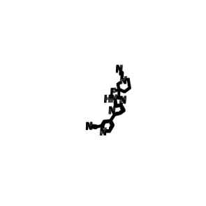 N#Cc1cc(-c2ccc3nc(C4(F)CCCN(C#N)C4)[nH]c3n2)ccn1